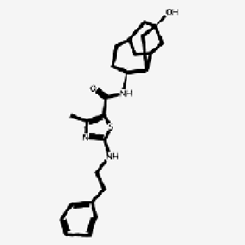 Cc1nc(NCCc2ccccc2)sc1C(=O)N[C@H]1CCC2CC3C[C@@](O)(C2)CC31